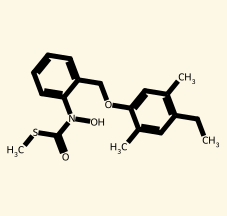 CCc1cc(C)c(OCc2ccccc2N(O)C(=O)SC)cc1C